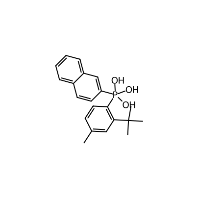 Cc1ccc(P(O)(O)(O)c2ccc3ccccc3c2)c(C(C)(C)C)c1